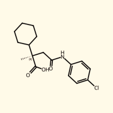 C[C@](CC(=O)Nc1ccc(Cl)cc1)(C(=O)O)C1CCCCC1